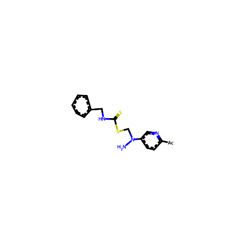 CC(=O)c1ccc(N(N)CSC(=S)NCc2ccccc2)cn1